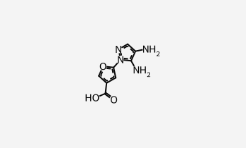 Nc1cnn(-c2cc(C(=O)O)co2)c1N